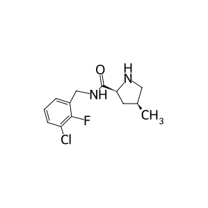 C[C@@H]1CN[C@H](C(=O)NCc2cccc(Cl)c2F)C1